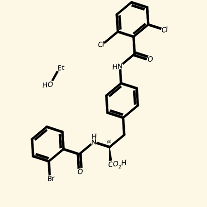 CCO.O=C(N[C@@H](Cc1ccc(NC(=O)c2c(Cl)cccc2Cl)cc1)C(=O)O)c1ccccc1Br